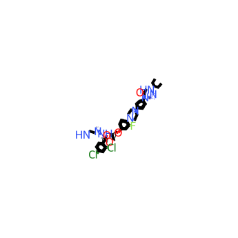 CCC(CC)N/N=C\N(C(C)=O)c1ccc(N2CCN(c3ccc(OC[C@@H]4CO[C@@](CNN(C)CC=N)(c5ccc(Cl)cc5Cl)O4)cc3F)CC2)cc1